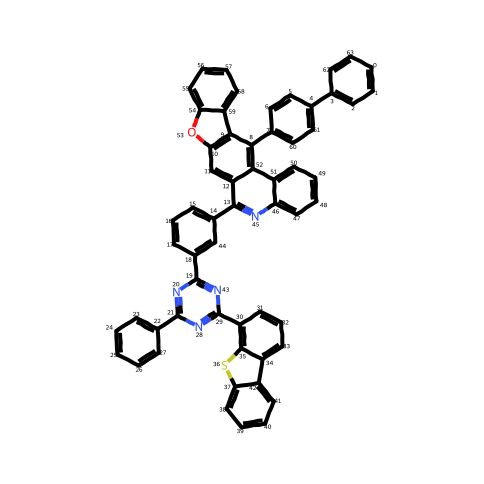 c1ccc(-c2ccc(-c3c4c(cc5c(-c6cccc(-c7nc(-c8ccccc8)nc(-c8cccc9c8sc8ccccc89)n7)c6)nc6ccccc6c35)oc3ccccc34)cc2)cc1